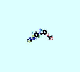 Fc1ccc(OCC2COC2)cc1CNc1cc(F)c(SNc2cscn2)cc1Cl